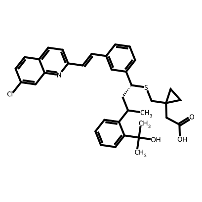 CC(C[C@@H](SCC1(CC(=O)O)CC1)c1cccc(/C=C/c2ccc3ccc(Cl)cc3n2)c1)c1ccccc1C(C)(C)O